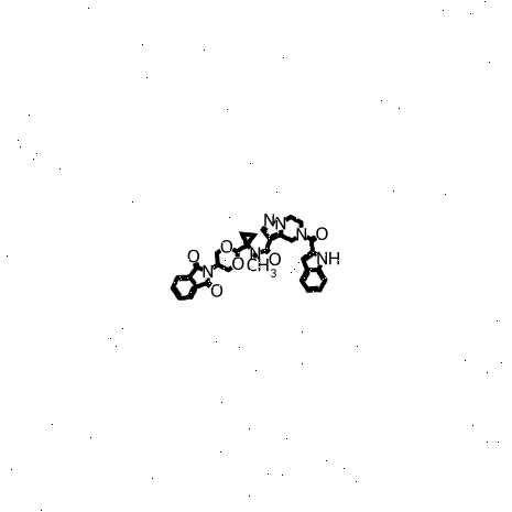 CN(C(=O)c1cnn2c1CN(C(=O)c1cc3ccccc3[nH]1)CC2)C1(C2OCC(N3C(=O)c4ccccc4C3=O)CO2)CC1